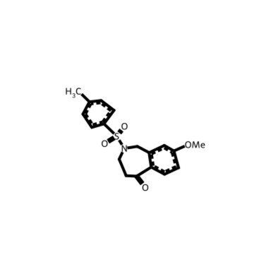 COc1ccc2c(c1)CN(S(=O)(=O)c1ccc(C)cc1)CCC2=O